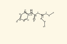 CCCN(CCI)CC(=O)Nc1ccc(C)cn1